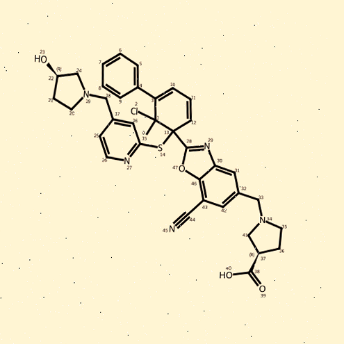 CC1(Cl)C(c2ccccc2)=CC=CC1(Sc1cc(CN2CC[C@@H](O)C2)ccn1)c1nc2cc(CN3CC[C@@H](C(=O)O)C3)cc(C#N)c2o1